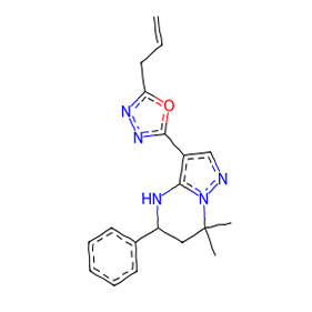 C=CCc1nnc(-c2cnn3c2NC(c2ccccc2)CC3(C)C)o1